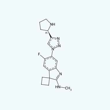 CNC1=Nc2cc(-n3cc([C@H]4CCCN4)nn3)c(F)cc2C12CCC2